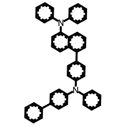 c1ccc(-c2ccc(N(c3ccccc3)c3ccc(-c4cccc5c(N(c6ccccc6)c6ccccc6)cccc45)cc3)cc2)cc1